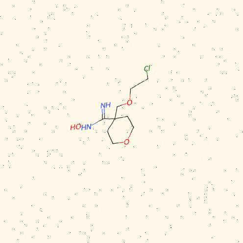 N=C(NO)C1(COCCCl)CCOCC1